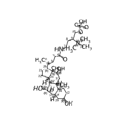 C[C@H](CCC(=O)NCCC(COP(=O)([O-])O)[N+](C)(C)C)[C@H]1CC[C@H]2[C@@H]3[C@H](O)C[C@@H]4C[C@H](O)CC[C@]4(C)[C@H]3C[C@H](O)[C@]12C